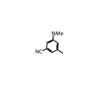 CNc1cc(C)cc(C#N)c1